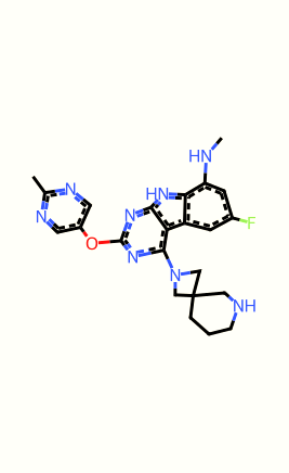 CNc1cc(F)cc2c1[nH]c1nc(Oc3cnc(C)nc3)nc(N3CC4(CCCNC4)C3)c12